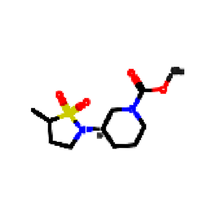 CC1CCN([C@H]2CCCN(C(=O)OC(C)(C)C)C2)S1(=O)=O